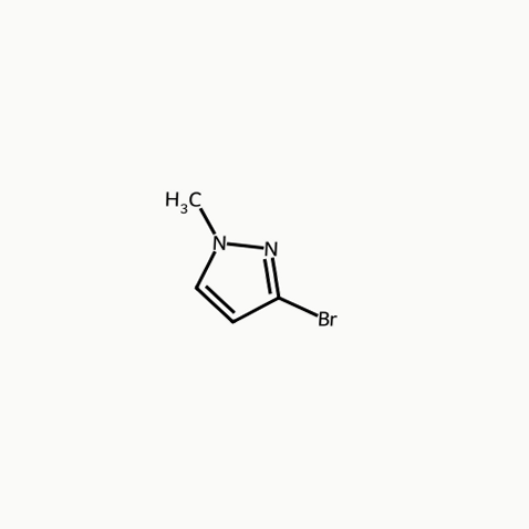 Cn1ccc(Br)n1